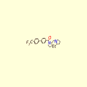 CCC1CCCN1CC1CCCN1C(=O)c1ccc(-c2ccc(C(F)(F)F)cc2)cc1